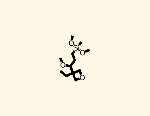 CCC1(C(CC[Si](C)(OC)OC)OC)COC1